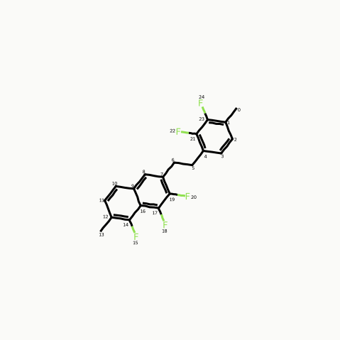 Cc1ccc(CCc2cc3ccc(C)c(F)c3c(F)c2F)c(F)c1F